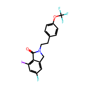 O=C1c2c(I)cc(F)cc2CN1CCc1ccc(OC(F)(F)F)cc1